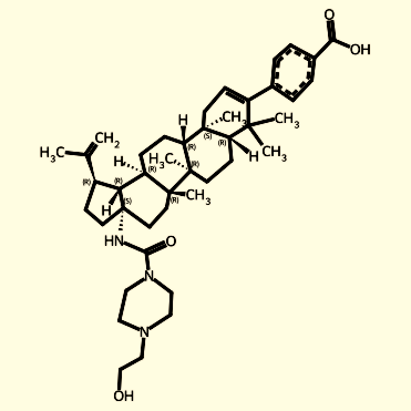 C=C(C)[C@@H]1CC[C@]2(NC(=O)N3CCN(CCO)CC3)CC[C@]3(C)[C@H](CC[C@@H]4[C@@]5(C)CC=C(c6ccc(C(=O)O)cc6)C(C)(C)[C@@H]5CC[C@]43C)[C@@H]12